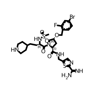 CS(=O)(=O)N[C@H](CCC1CCNCC1)C(=O)N1C[C@H](OCc2ccc(Br)cc2F)C[C@H]1C(=O)NCc1cnc(C(=N)N)s1